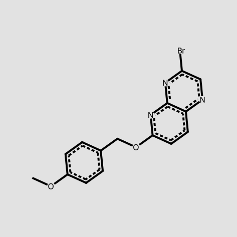 COc1ccc(COc2ccc3ncc(Br)nc3n2)cc1